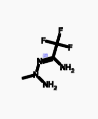 CN(N)/N=C(\N)C(F)(F)F